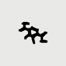 COC(=O)c1ccc(C(=O)OC)c(C)c1C